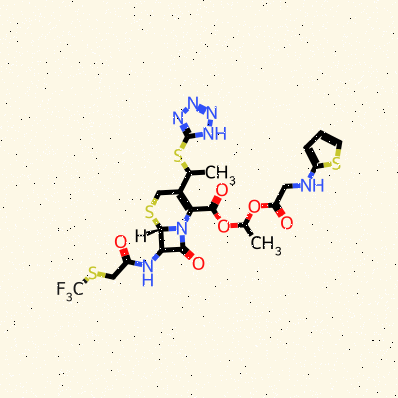 CC(OC(=O)CNc1cccs1)OC(=O)C1=C(C(C)Sc2nnn[nH]2)CS[C@H]2C(NC(=O)CSC(F)(F)F)C(=O)N12